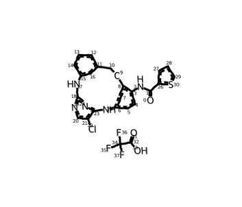 O=C(Nc1ccc2cc1CCc1cccc(c1)Nc1ncc(Cl)c(n1)N2)c1cccs1.O=C(O)C(F)(F)F